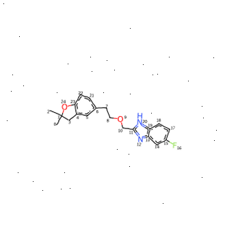 CC1(C)Cc2cc(CCOCc3nc4cc(F)ccc4[nH]3)ccc2O1